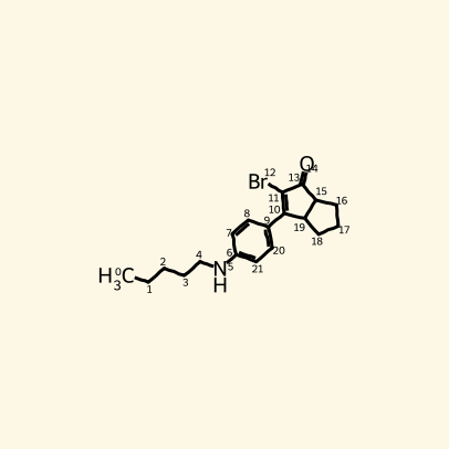 CCCCCNc1ccc(C2=C(Br)C(=O)C3CCCC23)cc1